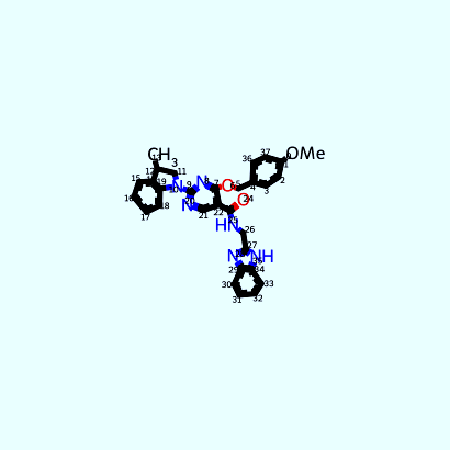 COc1ccc(COc2nc(N3CC(C)c4ccccc43)ncc2C(=O)NCc2nc3ccccc3[nH]2)cc1